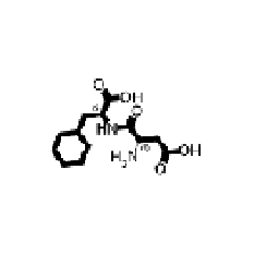 N[C@@H](CC(=O)O)C(=O)N[C@@H](CC1CCCCC1)C(=O)O